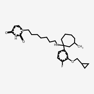 CC1CCCCC(NCCCCCCCn2ccc(=O)[nH]c2=O)(c2ccc(F)c(OCC3CC3)c2)C1